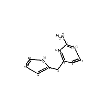 Nc1nccc(Cc2cccs2)n1